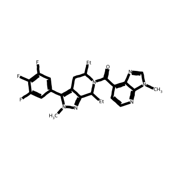 CCC1Cc2c(nn(C)c2-c2cc(F)c(F)c(F)c2)C(CC)N1C(=O)c1ccnc2c1ncn2C